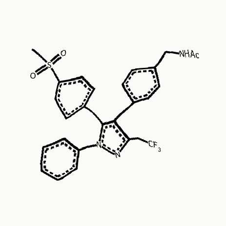 CC(=O)NCc1ccc(-c2c(C(F)(F)F)nn(-c3ccccc3)c2-c2ccc(S(C)(=O)=O)cc2)cc1